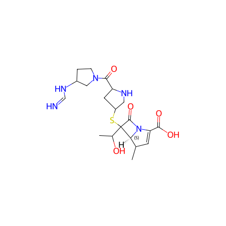 CC1C=C(C(=O)O)N2C(=O)C(SC3CNC(C(=O)N4CCC(NC=N)C4)C3)(C(C)O)[C@H]12